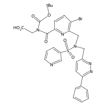 CC(C)(C)OC(=O)N(CC(=O)O)C(=O)c1ccc(Br)c(CN(Cc2ccc(-c3ccccc3)nn2)S(=O)(=O)c2cccnc2)n1